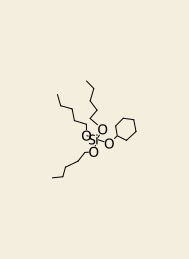 CCCCCO[Si](OCCCCC)(OCCCCC)OC1CCCCC1